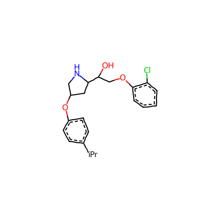 CC(C)c1ccc(OC2CNC(C(O)COc3ccccc3Cl)C2)cc1